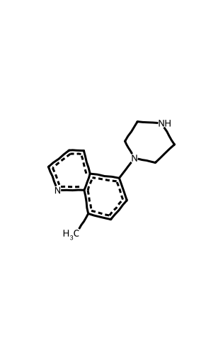 Cc1ccc(N2CCNCC2)c2cccnc12